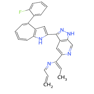 C=C/C=N\C(=C/C)c1cc2c(-c3cc4c([nH]3)C=C=CC=C4c3ccccc3F)n[nH]c2cn1